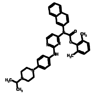 Cc1cccc(C)c1OC(=O)N(c1ccc2ccccc2c1)c1ccnc(Nc2ccc(N3CCN(C(C)C)CC3)cc2)n1